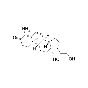 C[C@]12CC[C@H]3[C@@H](C=CC4=C(N)C(=O)CC[C@@]43C)[C@@H]1CC[C@@H]2[C@@H](O)CO